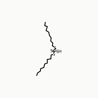 CCCCCCCCCCSP(=S)(S)SCCCCCCCCCC